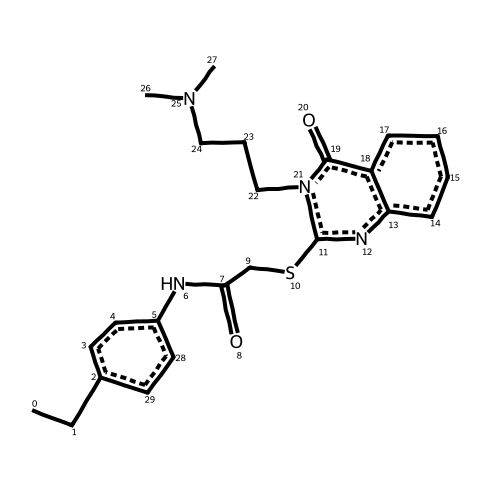 CCc1ccc(NC(=O)CSc2nc3ccccc3c(=O)n2CCCN(C)C)cc1